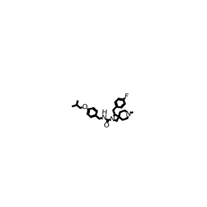 CC(C)COc1ccc(CNC(=O)N2CC3(CCN(C)CC3)C2Cc2ccc(F)cc2)cc1